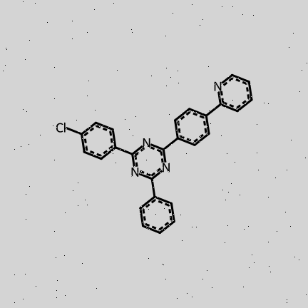 Clc1ccc(-c2nc(-c3ccccc3)nc(-c3ccc(-c4ccccn4)cc3)n2)cc1